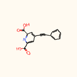 O=C(O)c1cc(C#Cc2ccccc2)cc(C(=O)O)n1